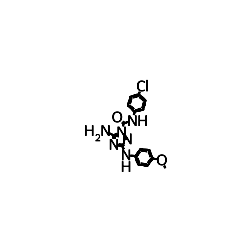 COc1ccc(Nc2nc(N)n(C(=O)Nc3ccc(Cl)cc3)n2)cc1